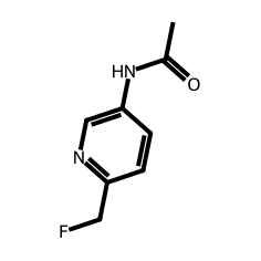 CC(=O)Nc1ccc(CF)nc1